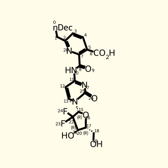 CCCCCCCCCCCc1ccc(C(=O)O)c(C(=O)Nc2ccn([C@@H]3O[C@H](CO)[C@@H](O)C3(F)F)c(=O)n2)n1